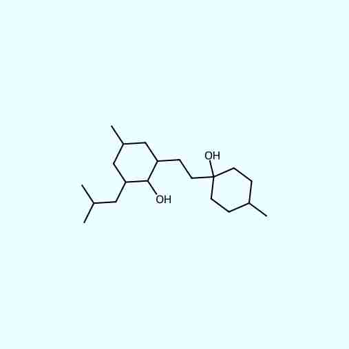 CC(C)CC1CC(C)CC(CCC2(O)CCC(C)CC2)C1O